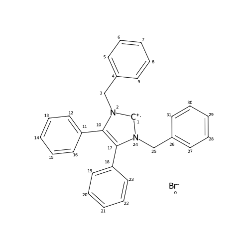 [Br-].[C+]1N(Cc2ccccc2)C(c2ccccc2)=C(c2ccccc2)N1Cc1ccccc1